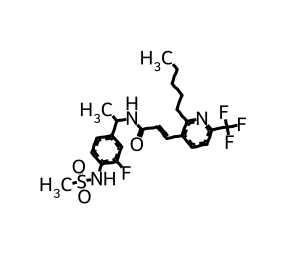 CCCCCc1nc(C(F)(F)F)ccc1C=CC(=O)NC(C)c1ccc(NS(C)(=O)=O)c(F)c1